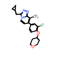 FC(F)(F)c1c(-c2ccc(OC3CCOCC3)c(Cl)c2)ccn2c(CC3CC3)nnc12